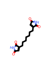 O=C1C=C(CCCCCCCC2=CC(=O)NC2=O)C(=O)N1